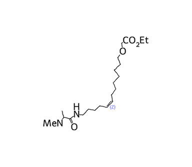 CCOC(=O)COCCCCCCC/C=C\CCCCNC(=O)C(C)NC